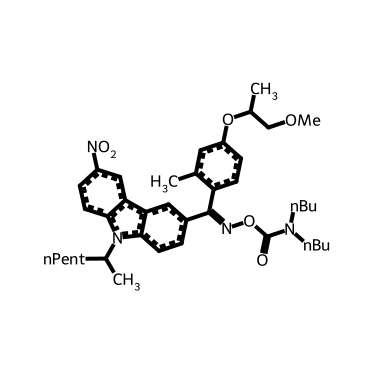 CCCCCC(C)n1c2ccc(/C(=N/OC(=O)N(CCCC)CCCC)c3ccc(OC(C)COC)cc3C)cc2c2cc([N+](=O)[O-])ccc21